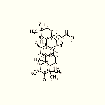 CCNC(=O)N[C@]12CCC(C)(C)C[C@@H]1[C@H]1C(=O)C=C3[C@@]4(C)C=C(C#N)C(=O)C(C)(C)[C@@H]4CC[C@@]3(C)[C@]1(C)CC2